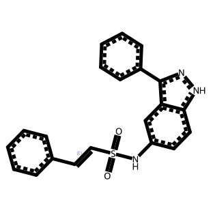 O=S(=O)(/C=C/c1ccccc1)Nc1ccc2[nH]nc(-c3ccccc3)c2c1